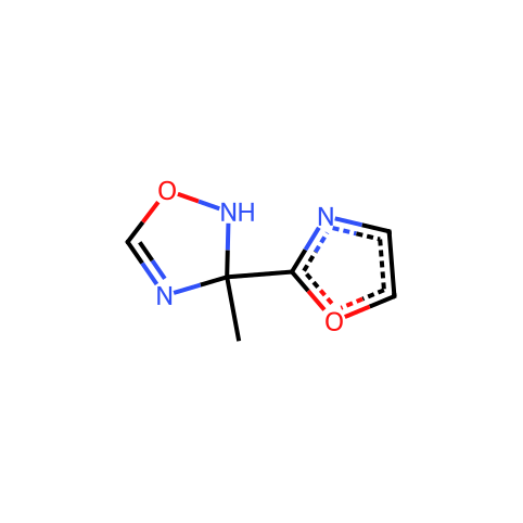 CC1(c2ncco2)N=CON1